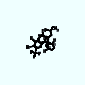 CC(F)CNC1C[C@H]2CC[C@@H]1N2c1nc(F)nc2c(F)c(Br)c(C(F)(F)F)cc12